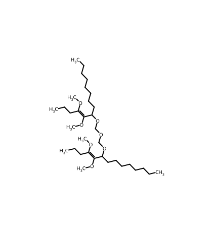 CCCCCCCCC(OCOCOC(CCCCCCCC)C(OC)=C(CCC)OC)C(OC)=C(CCC)OC